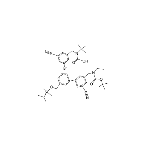 CC(C)(C)N(Cc1cc(Br)cc(C#N)c1)C(=O)O.CCN(Cc1cc(C#N)cc(-c2cccc(CO[Si](C)(C)C(C)C)c2)c1)C(=O)OC(C)(C)C